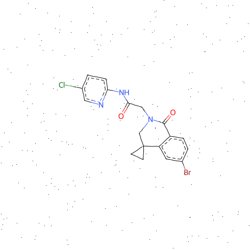 O=C(CN1CC2(CC2)c2cc(Br)ccc2C1=O)Nc1ccc(Cl)cn1